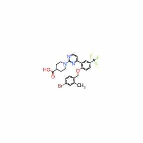 Cc1cc(Br)ccc1COc1ccc(C(F)(F)F)cc1-c1ccnc(N2CCC(C(=O)O)CC2)n1